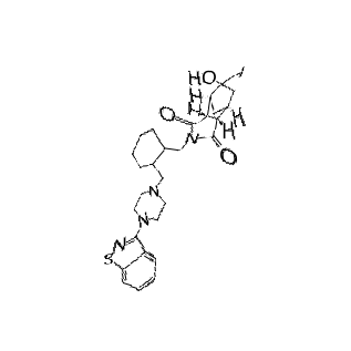 O=C1[C@H]2[C@H]3C[C@@H]([C@H]2C(=O)N1CC1CCCCC1CN1CCN(c2nsc4ccccc24)CC1)C(O)(I)C3